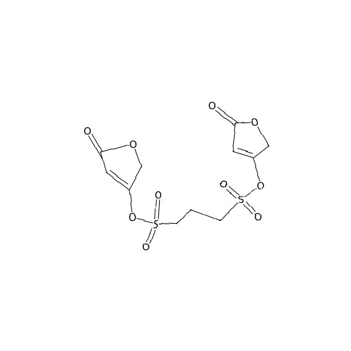 O=C1C=C(OS(=O)(=O)CCCS(=O)(=O)OC2=CC(=O)OC2)CO1